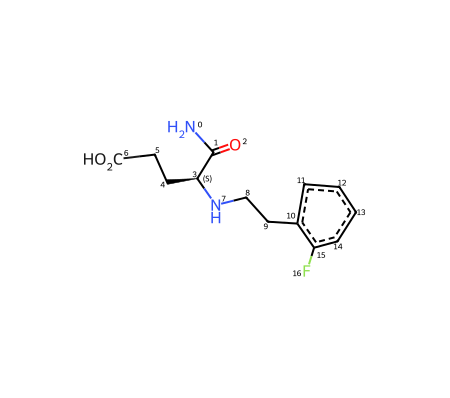 NC(=O)[C@H](CCC(=O)O)NCCc1ccccc1F